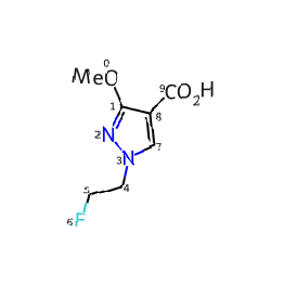 COc1nn(CCF)cc1C(=O)O